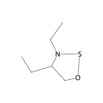 CCC1COSN1CC